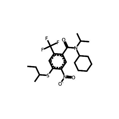 CCC(C)Sc1cc(C(F)(F)F)c(C(=O)N(C(C)C)C2CCCCC2)cc1[N+](=O)[O-]